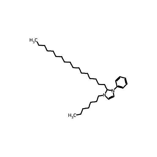 CCCCCCCCCCCCCCCCCC1N(CCCCCCC)C=CN1c1ccccc1